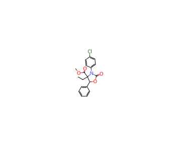 CCC1(C(=O)OC)C(c2ccccc2)OC(=O)N1c1ccc(Cl)cc1